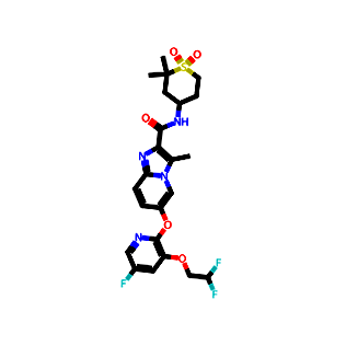 Cc1c(C(=O)NC2CCS(=O)(=O)C(C)(C)C2)nc2ccc(Oc3ncc(F)cc3OCC(F)F)cn12